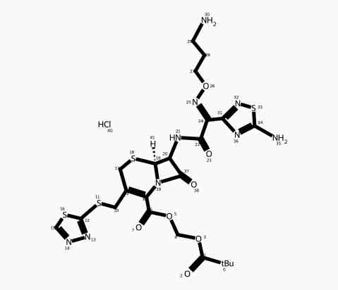 CC(C)(C)C(=O)OCOC(=O)C1=C(CSc2nncs2)CS[C@H]2C(NC(=O)C(=NOCCCN)c3nsc(N)n3)C(=O)N12.Cl